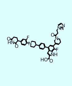 O=C1CCC(c2ccc(N3CCC(c4ccc(-c5cc(C6=CCCN(C(=O)CCn7ccnn7)C6)c(F)c6[nH]c(C(=O)O)cc56)cc4)CC3)c(F)c2)C(=O)N1